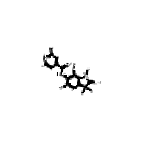 Cc1cc(C(=O)Nc2c(F)cc3c(c2F)N(C)C(=O)C3(C)C)ccn1